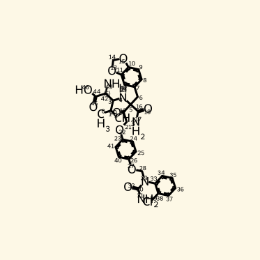 CC(C)C(NC(Cc1ccc2c(c1)OCO2)(C(N)=O)C(=O)COc1ccc(OCN(C(N)=O)c2ccccc2Cl)cc1)[C@H](N)C(=O)O